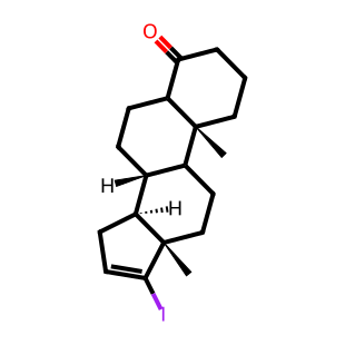 C[C@]12CCCC(=O)C1CC[C@@H]1C2CC[C@]2(C)C(I)=CC[C@@H]12